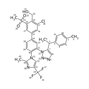 Cc1ccc(C(C)c2cnnn2-c2cc(-c3cc(Cl)c(CO)c(S(C)(=O)=O)c3)ccc2-n2cc(C(F)(F)F)nc2C)cc1